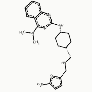 CN(C)c1nc(N[C@H]2CC[C@@H](CNCc3ccc([N+](=O)[O-])o3)CC2)nc2ccccc12